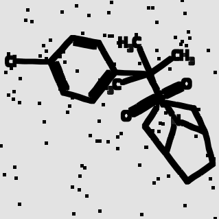 CC(C)(C)N1CC2CCC(C1)N2S(=O)(=O)Cc1ccc(Cl)cc1